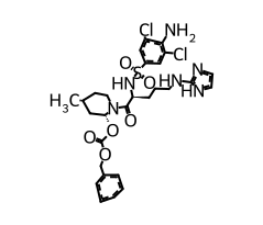 C[C@@H]1CCN(C(=O)[C@H](CCCNc2ncc[nH]2)NS(=O)(=O)c2cc(Cl)c(N)c(Cl)c2)[C@H](OC(=O)OCc2ccccc2)C1